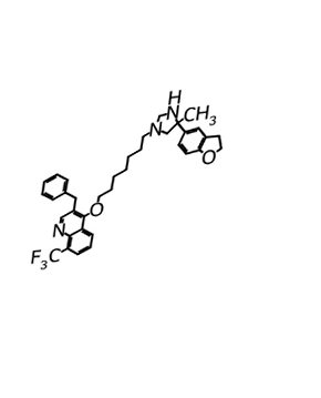 CC1(c2ccc3c(c2)CCO3)CN(CCCCCCCOc2c(Cc3ccccc3)cnc3c(C(F)(F)F)cccc23)CN1